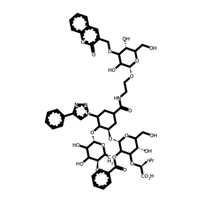 CCC[C@H](OC1C(OC(=O)c2ccccc2)[C@H](O[C@@H]2CC(C(=O)NCCO[C@H]3OC(CO)[C@@H](O)C(OCc4cc5ccccc5oc4=O)C3O)CC(n3cc(-c4ccccc4)nn3)C2O[C@@H]2OC(C)[C@@H](O)C(O)C2O)OC(CO)[C@@H]1O)C(=O)O